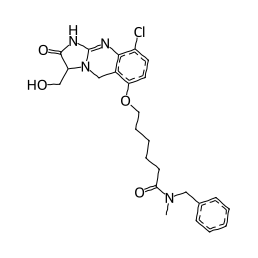 CN(Cc1ccccc1)C(=O)CCCCCOc1ccc(Cl)c2c1CN1C(=N2)NC(=O)C1CO